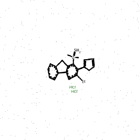 CCc1cc2c([c]([Zr]([CH3])([CH3])=[SiH2])c1C1=CC=CC1)Cc1ccccc1-2.Cl.Cl